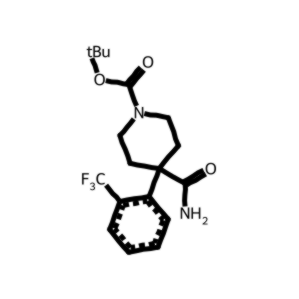 CC(C)(C)OC(=O)N1CCC(C(N)=O)(c2ccccc2C(F)(F)F)CC1